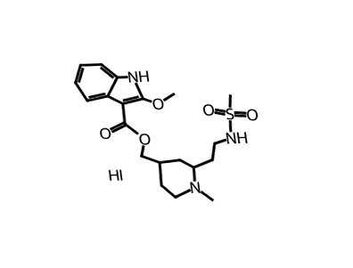 COc1[nH]c2ccccc2c1C(=O)OCC1CCN(C)C(CCNS(C)(=O)=O)C1.I